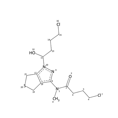 CN(C(=O)CCCCl)c1nn(C(O)CCCCl)c2c1CSC2